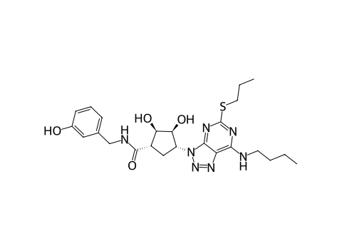 CCCCNc1nc(SCCC)nc2c1nnn2[C@@H]1C[C@H](C(=O)NCc2cccc(O)c2)[C@@H](O)[C@H]1O